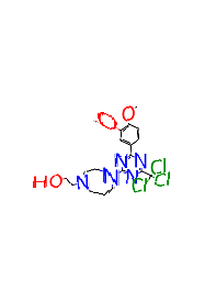 COc1ccc(-c2nc(N3CCCN(CCO)CC3)nc(C(Cl)(Cl)Cl)n2)cc1OC